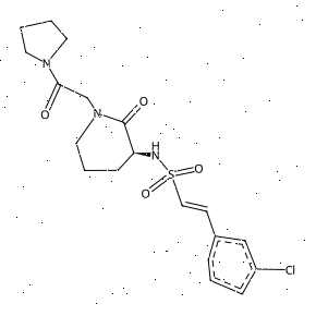 O=C(CN1CCC[C@H](NS(=O)(=O)/C=C/c2cccc(Cl)c2)C1=O)N1CCCC1